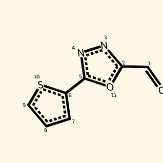 O=Cc1nnc(-c2cccs2)o1